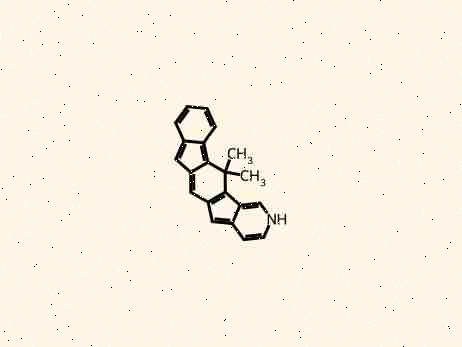 CC1(C)C2=c3ccccc3=CC2=Cc2cc3cc[nH]cc-3c21